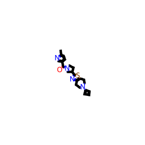 Cc1ccc(C(=O)N2CCC(c3nc4c(s3)CCN(C3=CC=C3)CC4)C2)cn1